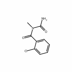 CN(C(N)=O)C(=O)c1ccccc1Cl